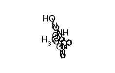 COc1c(C(=O)NC2CCN(CCO)CC2)sc2c1c(=O)n(CCn1cccc1)c1ccccc21